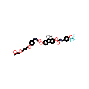 CC1c2cc(OOC/C=C\c3ccc(OCCCCOCC4CO4)cc3)ccc2-c2ccc(OC(=O)/C=C/c3ccc(OC(F)(F)F)cc3)cc21